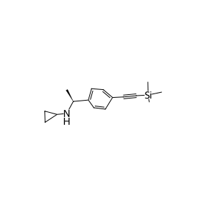 C[C@H](NC1CC1)c1ccc(C#C[Si](C)(C)C)cc1